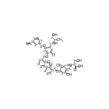 CC(CO)NCc1cc(Cl)c(OCc2cccc(-c3cccc(COc4cc(O)c(CNC(CO)C(=O)O)cc4Cl)c3Cl)c2Cl)cc1OCc1cncc(C#N)c1